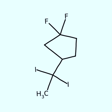 CC(I)(I)C1CCC(F)(F)C1